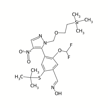 CC(C)(C)Sc1cc(-c2c([N+](=O)[O-])cnn2COCC[Si](C)(C)C)c(OC(F)F)cc1/C=N/O